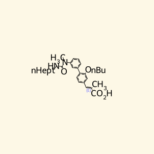 CCCCCCCNC(=O)N(C)c1cccc(-c2ccc(/C=C(\C)C(=O)O)cc2OCCCC)c1